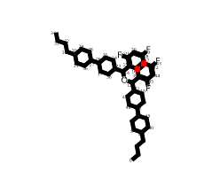 CCCCC1CCC(C2CCC(C(OC(c3ccc(F)cc3F)C3CCC(C4CCC(CCCC)CC4)CC3)c3ccc(F)cc3F)CC2)CC1